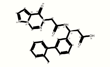 Cc1ccccc1-c1cccc([C@H](CC(=O)O)NC(=O)Cn2ncn3nccc3c2=O)c1